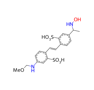 COCNc1ccc(C=Cc2ccc(C(C)NO)cc2S(=O)(=O)O)c(S(=O)(=O)O)c1